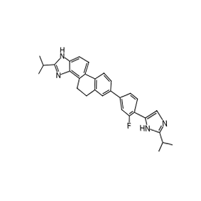 CC(C)c1ncc(-c2ccc(-c3ccc4c(c3)CCc3c-4ccc4[nH]c(C(C)C)nc34)cc2F)[nH]1